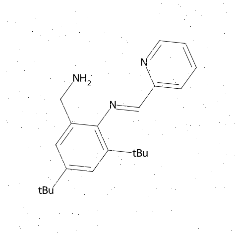 CC(C)(C)c1cc(CN)c(N=Cc2ccccn2)c(C(C)(C)C)c1